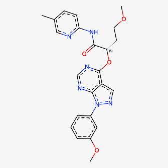 COCC[C@H](Oc1ncnc2c1cnn2-c1cccc(OC)c1)C(=O)Nc1ccc(C)cn1